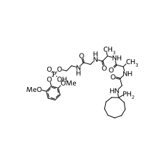 COc1cccc(OC)c1OP(=O)(O)OCCNC(=O)CNC(=O)C(C)NC(=O)C(C)NC(=O)CNC1(P)CCCCCCCC1